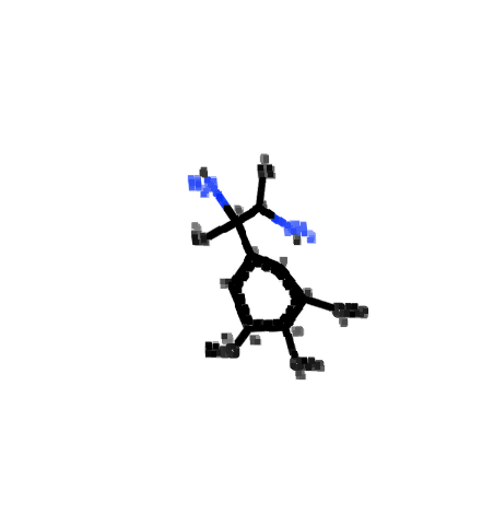 CCC(N)C(N)(CC)c1cc(OC)c(OC)c(OC)c1